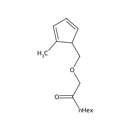 CCCCCCC(=O)COCC1C=CC=C1C